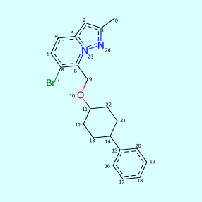 Cc1cc2ccc(Br)c(COC3CCC(c4ccccc4)CC3)n2n1